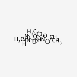 CNc1nccc(-c2cccnc2Oc2cc(C(=O)Nc3cccc(C(C)C)c3)ccc2C)n1